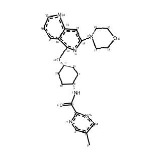 Cc1cnc(C(=O)N[C@H]2CC[C@@H](Oc3nc(N4CCOCC4)cc4ncccc34)CC2)nc1